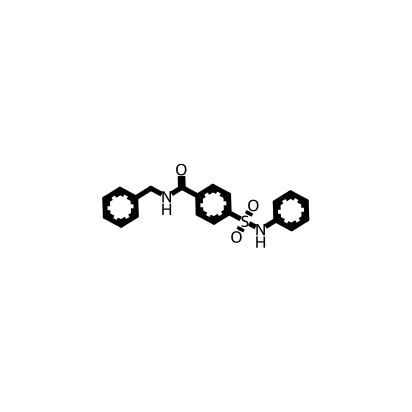 O=C(NCc1ccccc1)c1ccc(S(=O)(=O)Nc2ccccc2)cc1